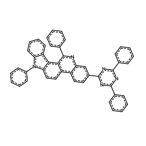 c1ccc(-c2nc(-c3ccccc3)nc(-c3ccc4c(c3)nc(-c3ccccc3)c3c4ccc4c3c3ccccc3n4-c3ccccc3)n2)cc1